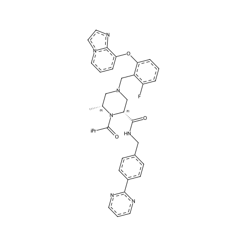 CC(C)C(=O)N1[C@H](C)CN(Cc2c(F)cccc2Oc2cccn3ccnc23)C[C@@H]1C(=O)NCc1ccc(-c2ncccn2)cc1